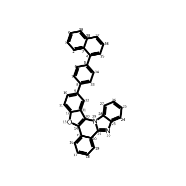 c1ccc2c(-c3ccc(-c4ccc5oc6c7ccccc7c7nc8ccccc8n7c6c5c4)cc3)cccc2c1